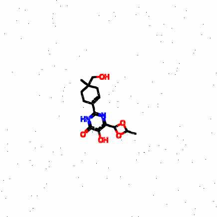 CC1OC(c2nc(C3=CCC(C)(CO)CC3)[nH]c(=O)c2O)O1